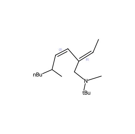 C/C=C(\C=C/C(C)CCCC)CN(C)C(C)(C)C